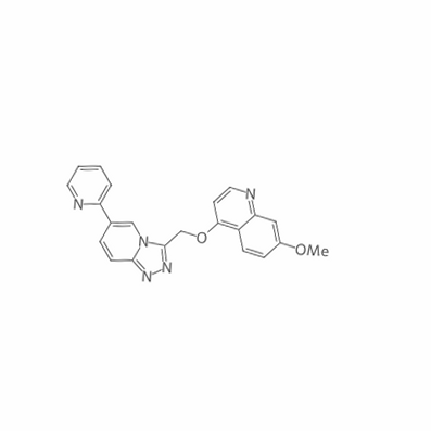 COc1ccc2c(OCc3nnc4ccc(-c5ccccn5)cn34)ccnc2c1